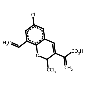 C=Cc1cc(Cl)cc2c1OC(C(Cl)(Cl)Cl)C(C(=C)C(=O)O)=C2